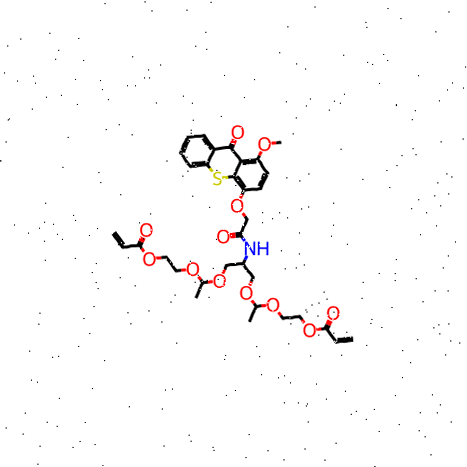 C=CC(=O)OCCOC(C)OCC(COC(C)OCCOC(=O)C=C)NC(=O)COc1ccc(OC)c2c(=O)c3ccccc3sc12